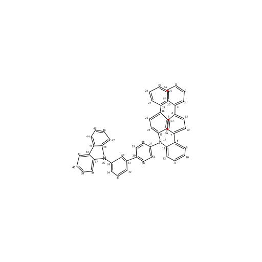 c1ccc(-c2ccc(-c3ccccc3N(c3ccc(-c4ccccc4)cc3)c3ccc(-c4cccc(-n5c6ccccc6c6ccccc65)c4)cc3)cc2)cc1